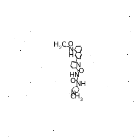 C=CC(=O)Nc1cccc2ccc(-c3cccc(C(=O)NCC(=O)NC4CCN(C)CC4)n3)cc12